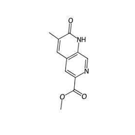 COC(=O)c1cc2cc(C)c(=O)[nH]c2cn1